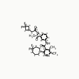 Cc1c(C(F)(F)F)nnc(N2CCCC(F)(F)CC2)c1C(=O)Nc1cccc([S@@](C)(=O)=NC(=O)CN2CC(F)(F)C2)c1